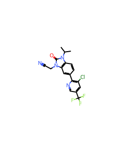 CC(C)n1c(=O)n(CC#N)c2cc(-c3ncc(C(F)(F)F)cc3Cl)ccc21